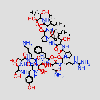 CC[C@H](C)[C@H](NC(=O)[C@@H]1CCCN1C(=O)[C@H](CC(C)C)NC(=O)[C@@H](NC(=O)[C@@H]1CCCN1C(=O)[C@H](CCCNC(=N)N)NC(=O)[C@H](CC(N)=O)NC(=O)[C@H](Cc1ccccc1)NC(=O)[C@H](CO)NC(=O)[C@H](Cc1ccc(O)cc1)NC(=O)[C@H](CO)NC(=O)[C@H](CCCCN)NC(=O)[C@H](CO)NC(=O)[C@@H](N)CO)[C@@H](C)O)C(=O)N[C@H](C(=O)O)[C@@H](C)O